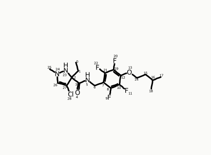 CCC1(C(=O)NCc2c(F)c(F)c(OCCC(C)C)c(F)c2F)NN(C)C=C1Cl